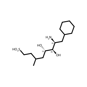 CC(CCS(=O)(=O)O)C[C@H](O)[C@H](O)[C@@H](N)CC1CCCCC1